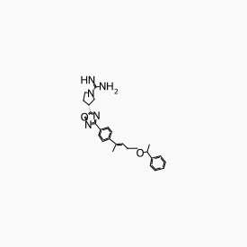 C/C(=C\CCOC(C)c1ccccc1)c1ccc(-c2noc([C@@H]3CCN(C(=N)N)C3)n2)cc1